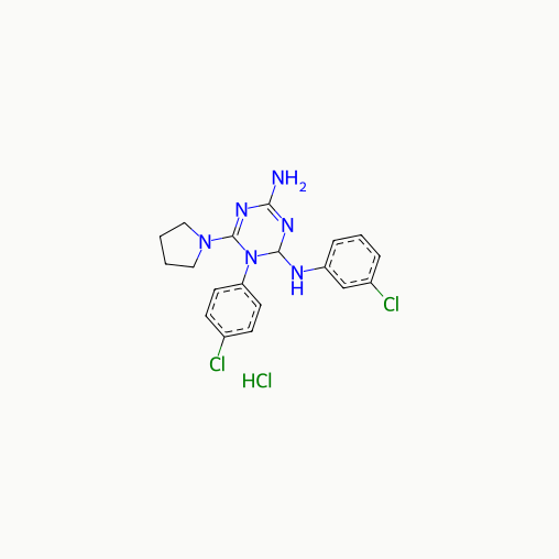 Cl.NC1=NC(Nc2cccc(Cl)c2)N(c2ccc(Cl)cc2)C(N2CCCC2)=N1